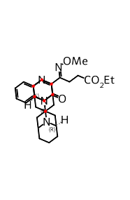 CCOC(=O)CCC(=NOC)c1nc2ccccc2n([C@@H]2CC3CCC[C@H](C2)N3C2CC3CCC[C@@H](C3)C2)c1=O